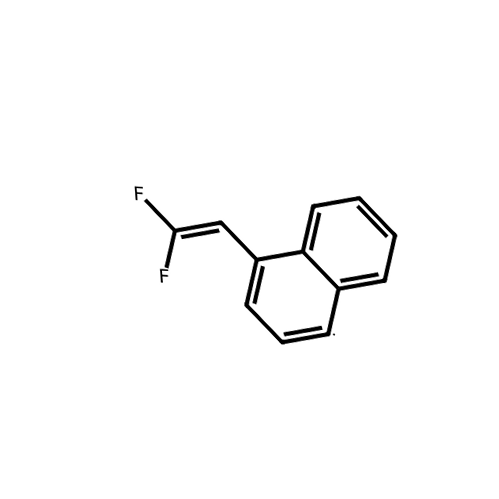 FC(F)=Cc1cc[c]c2ccccc12